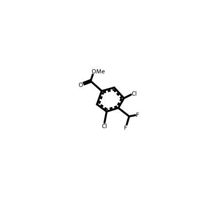 COC(=O)c1cc(Cl)c(C(F)F)c(Cl)c1